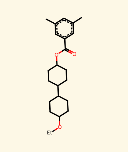 CCOC1CCC(C2CCC(OC(=O)c3cc(C)cc(C)c3)CC2)CC1